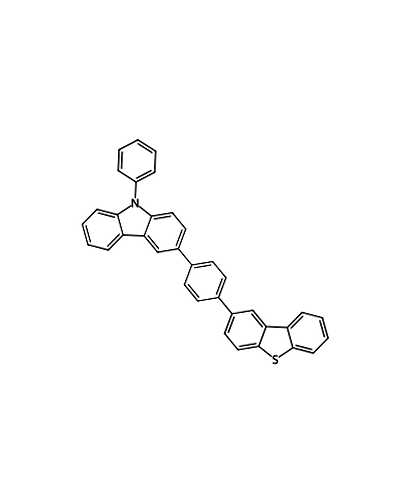 c1ccc(-n2c3ccccc3c3cc(-c4ccc(-c5ccc6sc7ccccc7c6c5)cc4)ccc32)cc1